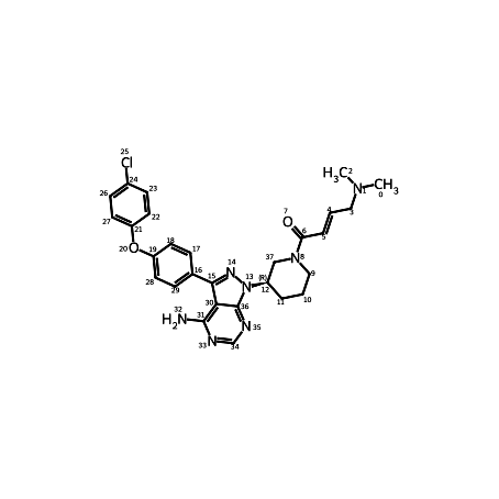 CN(C)CC=CC(=O)N1CCC[C@@H](n2nc(-c3ccc(Oc4ccc(Cl)cc4)cc3)c3c(N)ncnc32)C1